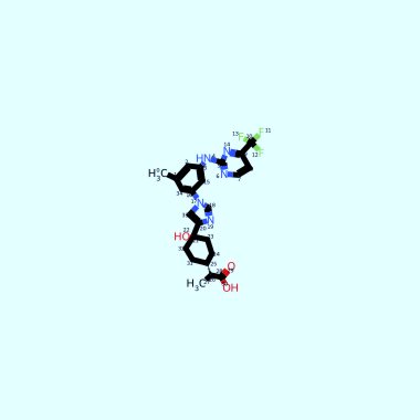 Cc1cc(Nc2nccc(C(F)(F)F)n2)cc(-n2cnc([C@]3(O)CC[C@H](C(C)C(=O)O)CC3)c2)c1